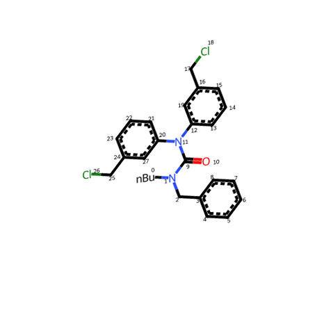 CCCCN(Cc1ccccc1)C(=O)N(c1cccc(CCl)c1)c1cccc(CCl)c1